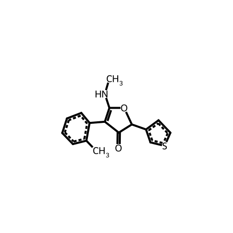 CNC1=C(c2ccccc2C)C(=O)C(c2ccsc2)O1